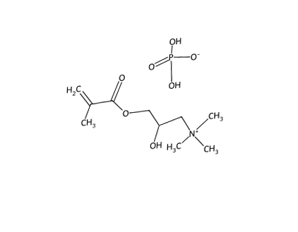 C=C(C)C(=O)OCC(O)C[N+](C)(C)C.O=P([O-])(O)O